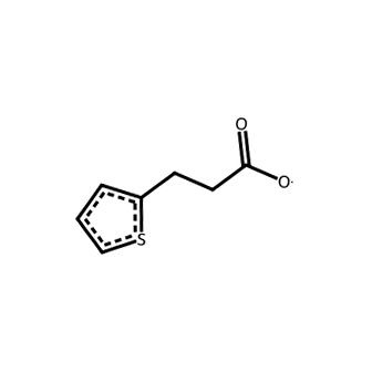 [O]C(=O)CCc1cccs1